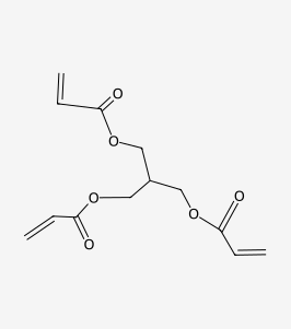 C=CC(=O)OCC(COC(=O)C=C)COC(=O)C=C